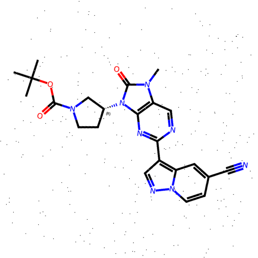 Cn1c(=O)n([C@@H]2CCN(C(=O)OC(C)(C)C)C2)c2nc(-c3cnn4ccc(C#N)cc34)ncc21